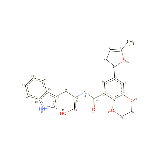 CC1=CCC(c2cc3c(c(C(=O)N[C@@H](CO)Cc4c[nH]c5ccccc45)c2)OCCO3)O1